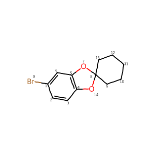 Brc1ccc2c(c1)OC1(CCCCC1)O2